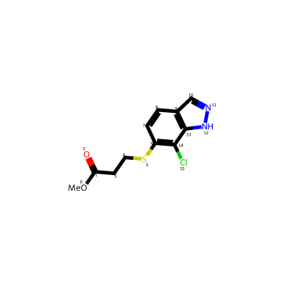 COC(=O)CCSc1ccc2cn[nH]c2c1Cl